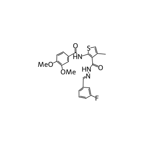 COc1ccc(C(=O)Nc2scc(C)c2C(=O)NN=Cc2cccc(F)c2)cc1OC